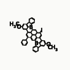 COc1cc2c3c(c1)-c1cc(I)c4cc5c6c(cc(-c7ccccc7)c7cc(c1c4c76)B3c1ccccc1-2)-c1cc(OC)cc2c1B5c1ccccc1-2